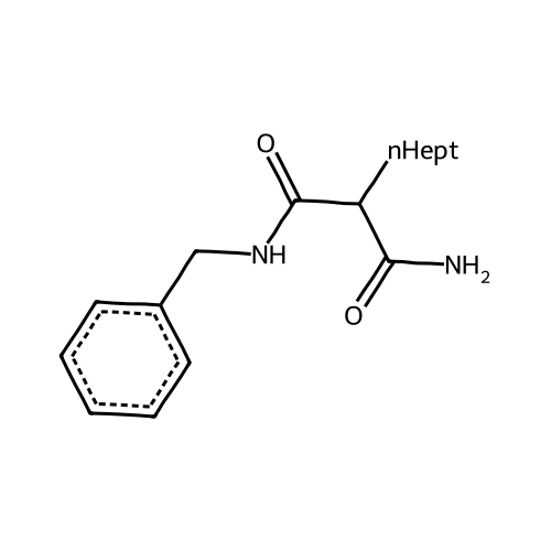 CCCCCCCC(C(N)=O)C(=O)NCc1ccccc1